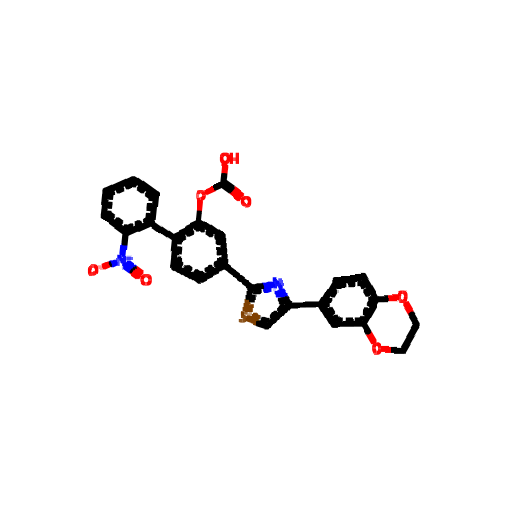 O=C(O)Oc1cc(-c2nc(-c3ccc4c(c3)OCCO4)cs2)ccc1-c1ccccc1[N+](=O)[O-]